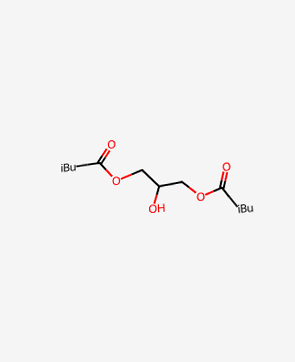 CCC(C)C(=O)OCC(O)COC(=O)C(C)CC